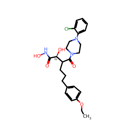 CCOc1ccc(CCCC(C(=O)N2CCN(c3ccccc3Cl)CC2)[C@H](O)C(=O)NO)cc1